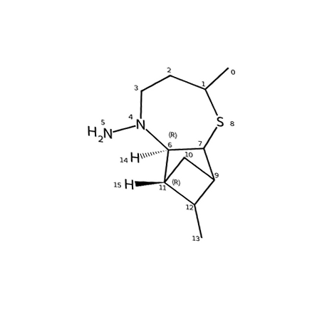 CC1CCN(N)[C@H]2C(S1)C1C[C@@H]2C1C